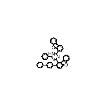 c1ccc(C2=NC(c3c(-c4ccc(-c5ccccc5)cc4)ccc4oc5ccccc5c34)=NC(c3cccc4c3oc3ccccc34)N2)cc1